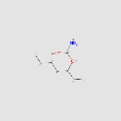 [CH2]CC(CCCC)OC(N)=O